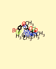 CNC(=O)c1c(Cl)c(-n2c(NC(C)C)nc3c(c2=O)C[C@@H](C)N(C(=O)c2ccc(Br)c(C(F)(F)F)c2)C3)nn1C